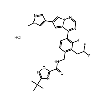 Cl.Cn1cc(-c2cc3c(-c4ccc(CNC(=O)c5nc(C(C)(C)C)no5)c(CC(F)F)c4F)ncnn3c2)cn1